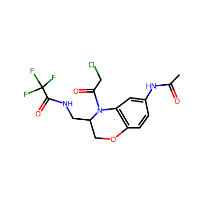 CC(=O)Nc1ccc2c(c1)N(C(=O)CCl)C(CNC(=O)C(F)(F)F)CO2